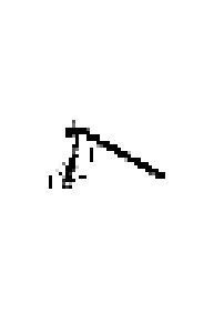 CCCCCCCCC=CCCCCCCCC1=NCCN1CCNCCC(=O)NO